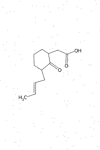 CC=CCC1CCCC(CC(=O)O)C1=O